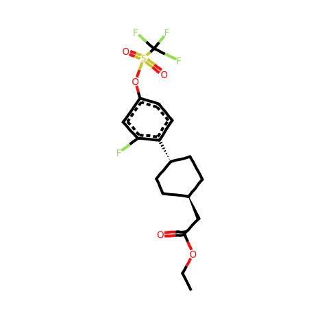 CCOC(=O)C[C@H]1CC[C@H](c2ccc(OS(=O)(=O)C(F)(F)F)cc2F)CC1